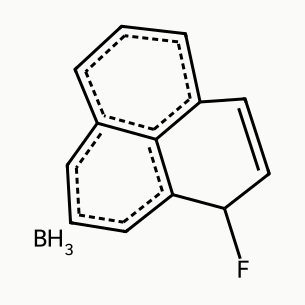 B.FC1C=Cc2cccc3cccc1c23